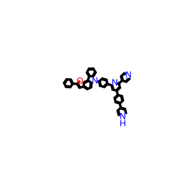 C1=CC(c2ccc(-c3cc(-c4ccncc4)nc(-c4ccc(-n5c6ccccc6c6c7oc(-c8ccccc8)cc7ccc65)cc4)c3)cc2)=CCN1